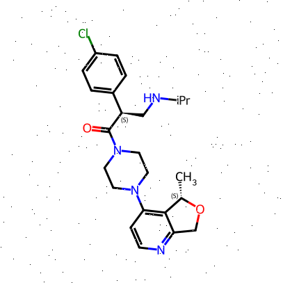 CC(C)NC[C@@H](C(=O)N1CCN(c2ccnc3c2[C@H](C)OC3)CC1)c1ccc(Cl)cc1